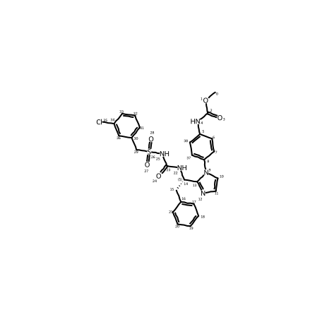 COC(=O)Nc1ccc(-n2ccnc2[C@H](Cc2ccccc2)NC(=O)NS(=O)(=O)Cc2cccc(Cl)c2)cc1